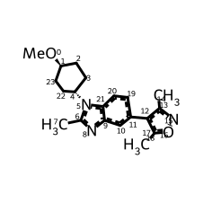 CO[C@H]1CC[C@H](n2c(C)nc3cc(-c4c(C)noc4C)ccc32)CC1